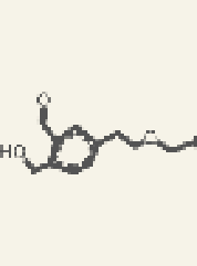 O=Cc1cc(CCOCI)ccc1CO